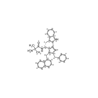 CC(C)(N)C(=O)N[C@H](Cc1c[nH]c2ccccc12)c1nnc(Cc2ccccc2)n1Cc1cccc2ccccc12